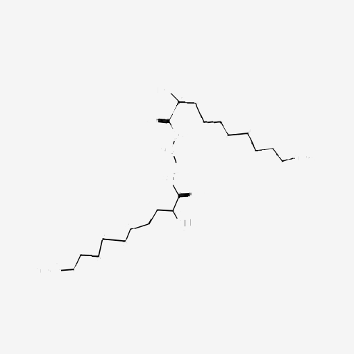 CCCCCCCCCCCCCCCCCCC(C)C(=O)OSSOC(=O)C(C)CCCCCCCCCCCCCCCCCC